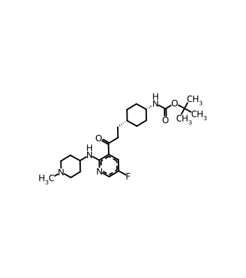 CN1CCC(Nc2ncc(F)cc2C(=O)CC[C@H]2CC[C@@H](NC(=O)OC(C)(C)C)CC2)CC1